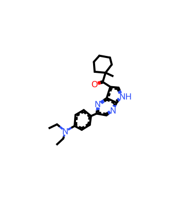 CCN(CC)c1ccc(-c2cnc3[nH]cc(C(=O)C4(C)CCCCC4)c3n2)cc1